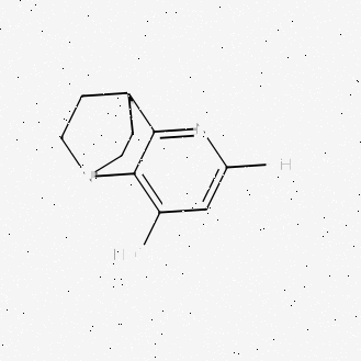 Cc1cc(C)c2c(n1)C1CCN2CC1